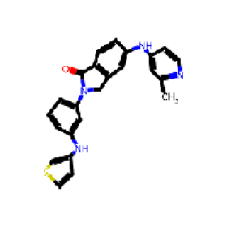 Cc1cc(Nc2ccc3c(c2)CN(c2cccc(Nc4ccsc4)c2)C3=O)ccn1